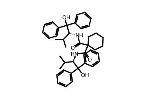 CC(C)[C@@H](NC(=O)C1(C(=O)N[C@H](C(C)C)C(O)(c2ccccc2)c2ccccc2)CCCCC1)C(O)(c1ccccc1)c1ccccc1